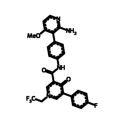 COc1ccnc(N)c1-c1ccc(NC(=O)c2cn(CC(F)(F)F)cc(-c3ccc(F)cc3)c2=O)cc1